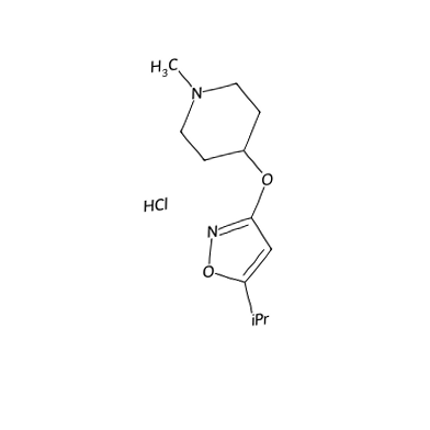 CC(C)c1cc(OC2CCN(C)CC2)no1.Cl